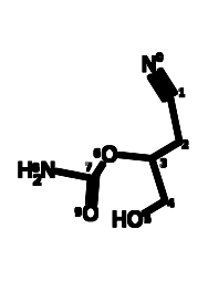 N#CCC(CO)OC(N)=O